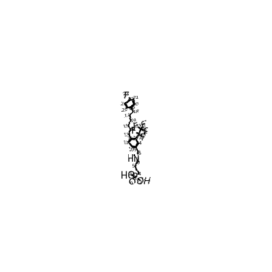 O=P(O)(O)CCCNCc1ccc(CCCCCCc2ccc(F)cc2)c(C(F)(F)C(F)(F)F)c1